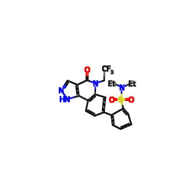 CCN(CC)S(=O)(=O)c1ccccc1-c1ccc2c3[nH]ncc3c(=O)n(CC(F)(F)F)c2c1